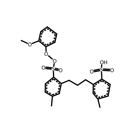 COc1ccccc1OOS(=O)(=O)c1ccc(C)cc1CCCc1cc(C)ccc1S(=O)(=O)O